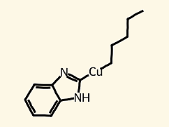 CCCC[CH2][Cu][c]1nc2ccccc2[nH]1